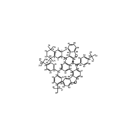 Cc1cc2c(cc1N1c3cc(C(c4ccc(C(C)(C)C)cc4)c4ccc(C(C)(C)C)cc4)cc4c3B(c3oc5ccccc5c31)N(c1ccc(C(C)(C)C)cc1)c1ccc3oc5ccccc5c3c1-4)C(C)(C)CCC2(C)C